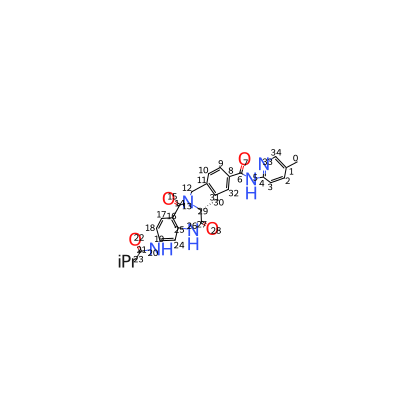 Cc1ccc(NC(=O)c2ccc(CN3C(=O)c4ccc(NC(=O)C(C)C)cc4NC(=O)[C@H]3C)cc2)nc1